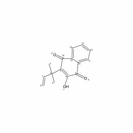 C=CC(C)(C)C1=C(O)C(=O)c2ccccc2C1=O